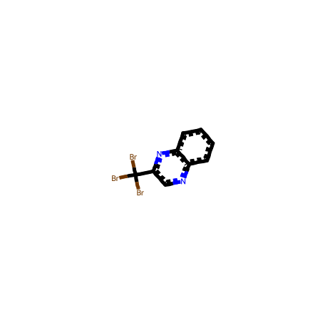 BrC(Br)(Br)c1cnc2ccccc2n1